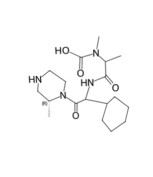 CC(C(=O)NC(C(=O)N1CCNC[C@H]1C)C1CCCCC1)N(C)C(=O)O